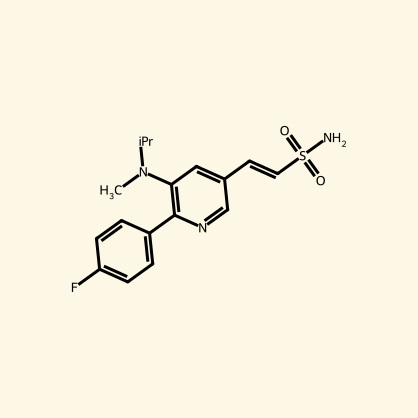 CC(C)N(C)c1cc(/C=C/S(N)(=O)=O)cnc1-c1ccc(F)cc1